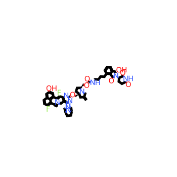 C#Cc1c(F)ccc2cc(O)cc(-c3ncc4c(N5CC6CCC(C5)N6)nc(OC[C@@]56CC[C@@H](COC(=O)NCCCCc7cccc8c7C(=O)N(C7CCC(=O)NC7=O)C8O)N5CC(=C)C6)nc4c3F)c12